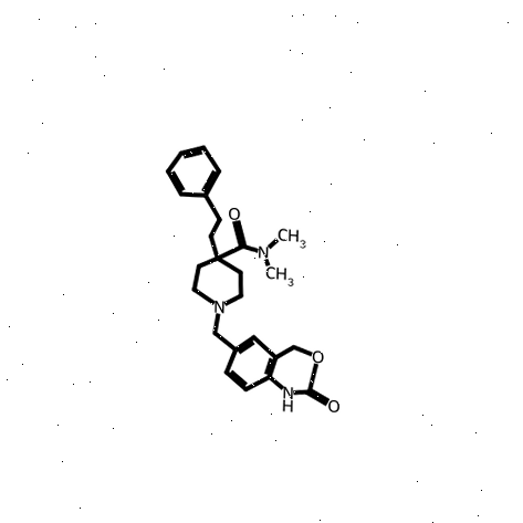 CN(C)C(=O)C1(CCc2ccccc2)CCN(Cc2ccc3c(c2)COC(=O)N3)CC1